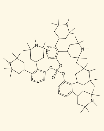 CN1C(C)(C)CC(c2cccc(OP(=O)(Oc3cccc(C4CC(C)(C)N(C)C(C)(C)C4)c3C3CC(C)(C)N(C)C(C)(C)C3)Oc3cccc(C4CC(C)(C)N(C)C(C)(C)C4)c3C3CC(C)(C)N(C)C(C)(C)C3)c2C2CC(C)(C)N(C)C(C)(C)C2)CC1(C)C